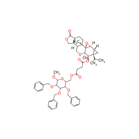 COC1OC(COC(=O)CCC(=O)O[C@@H]2[C@@]3(C(C)C)C[C@H]3[C@@H]3O[C@@]34[C@@]3(C)CCC5=C(COC5=O)[C@@H]3CO[C@]24C)C(OCc2ccccc2)C(OCc2ccccc2)C1OCc1ccccc1